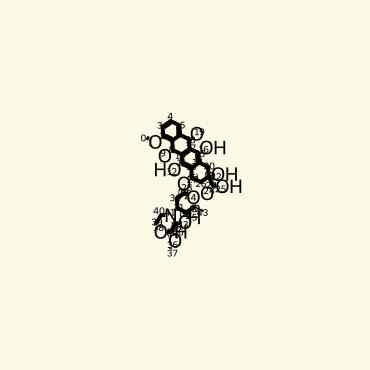 COc1cccc2c1C(=O)c1c(O)c3c(c(O)c1C2=O)C[C@@](O)(C(=O)O)C[C@@H]3O[C@H]1CC2[C@H](O[C@@H]3[C@@H](OC)OCCN23)[C@H](C)O1